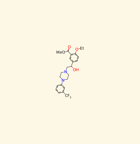 CCOc1ccc(C(O)CN2CCN(c3cccc(C(F)(F)F)c3)CC2)cc1C(=O)OC